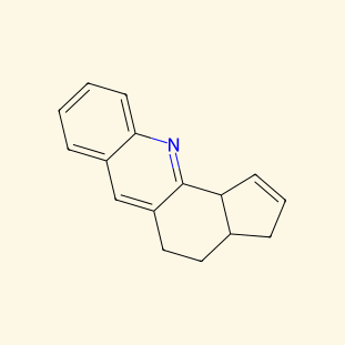 C1=CC2c3nc4ccccc4cc3CCC2C1